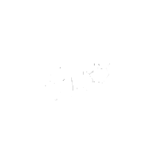 CC(C)CC(C)(C)C(C)CNSc1ccccc1